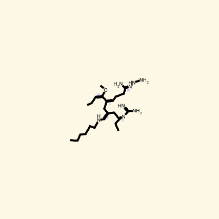 CC/C=C(OC)\C(=C/CC/C(N)=N/NN)C/C(=C\NCCCCCC)C/C(CC)=N\C(=N)N